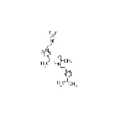 CC(=O)N(CCC(C)c1cnn(CCN2CC(F)(F)C2)n1)CCn1ncc(C(C)C)n1